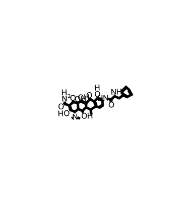 CC1c2ccc(NC(=O)[C@H](N)Cc3ccccc3)c(O)c2C(=O)C2=C(O)C3(O)C(=O)C(C(N)=O)=C(O)[C@@H](N(C)C)C3C(O)C21